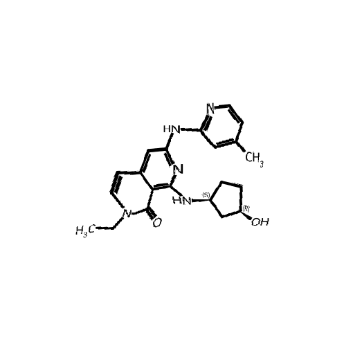 CCn1ccc2cc(Nc3cc(C)ccn3)nc(N[C@H]3CC[C@@H](O)C3)c2c1=O